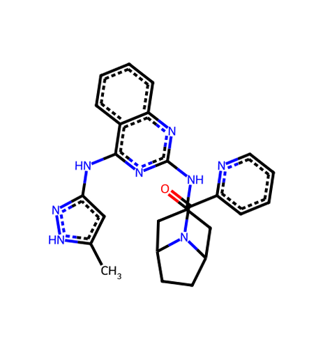 Cc1cc(Nc2nc(NC3CC4CCC(C3)N4C(=O)c3ccccn3)nc3ccccc23)n[nH]1